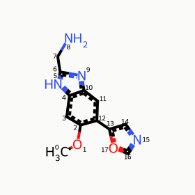 COc1cc2[nH]c(CN)nc2cc1-c1cnco1